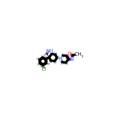 Cc1nc2c(o1)CN([C@H]1CC[C@](CN)(c3cccc(Cl)c3)CC1)CC2